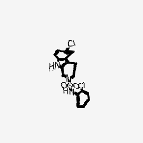 O=S(=O)(Nc1ccccc1Cl)N1CCc2c([nH]c3ccc(Cl)cc23)C1